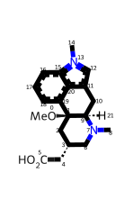 CO[C@]12C[C@@H](CC(=O)O)CN(C)[C@@H]1Cc1cn(C)c3cccc2c13